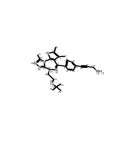 Cc1sc2c(c1C)C(c1ccc(C#CCN)cc1)=N[C@@H](CCOC(C)(C)C)c1nnc(C)n1-2